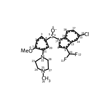 COc1ccc([S+]([O-])n2cc(C(F)F)c3cc(Cl)ccc32)cc1N1CCN(C)CC1